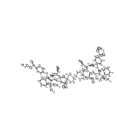 COC(=O)c1ccc(C[N+]2=C(/C=C/C3=C(O)OC4(CCC(C5CCC6(CC5)OC(O)=C(/C=C/C5=[N+](Cc7ccc(C(=O)OC)cc7)c7ccccc7C5(C)C)C(=C(C#N)C#N)O6)CC4)OC3=C(C#N)C#N)C(C)(C)c3ccccc32)cc1